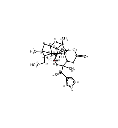 CC12OC34C5CC(=O)OC3C3(O)C(O)C6(C)CC3(O1)C(C)(C6CC(=O)O)C4(CCC5(C)C(=O)c1ccoc1)O2